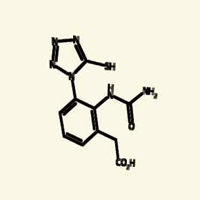 NC(=O)Nc1c(CC(=O)O)cccc1-n1nnnc1S